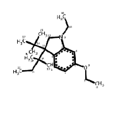 CCOc1ccc2c(c1)N(CC)CC2(C(C)(C)C)C(C)(C)CC